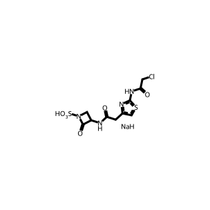 O=C(CCl)Nc1nc(CC(=O)NC2CN(S(=O)(=O)O)C2=O)cs1.[NaH]